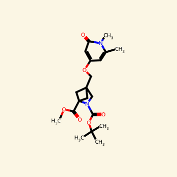 COC(=O)C12CC(COc3cc(C)n(C)c(=O)c3)(CN1C(=O)OC(C)(C)C)C2